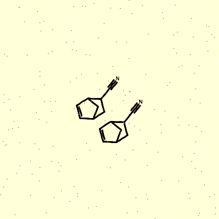 N#CC1CC2C=CC1C2.N#CC1CC2C=CC1C2